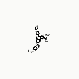 CCOc1cc2c(cc1OC)C(c1ccc(-n3ccnc3)nc1)=N[C@@H]1CC[C@@H](OS(=O)(=O)c3ccc(C)cc3)C[C@H]21